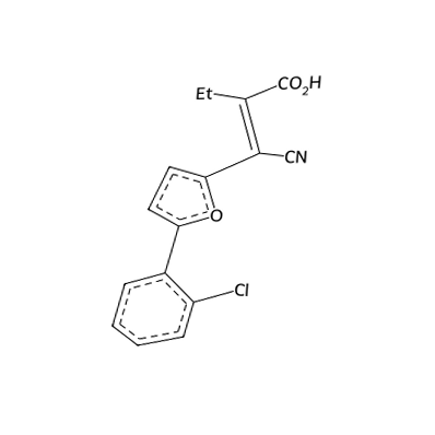 CC/C(C(=O)O)=C(/C#N)c1ccc(-c2ccccc2Cl)o1